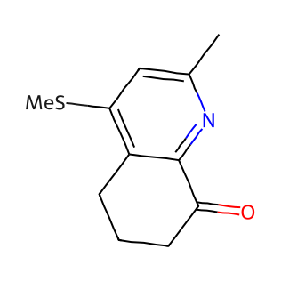 CSc1cc(C)nc2c1CCCC2=O